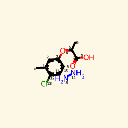 Cc1cc(OC(C)C(=O)O)ccc1Cl.NN